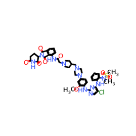 COc1cc(N2CCN(CC3CCN(CC(=O)Nc4cccc5c4C(=O)N(C4CCC(=O)NC4=O)C5=O)CC3)CC2)ccc1Nc1ncc(Cl)c(Nc2ccccc2N(C)S(C)(=O)=O)n1